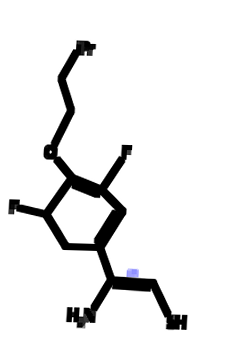 CC(C)CCOC1=C(F)C=C(/C(N)=C/S)CC1F